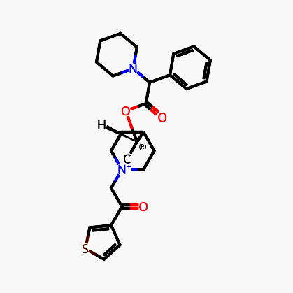 O=C(C[N+]12CCC(CC1)[C@@H](OC(=O)C(c1ccccc1)N1CCCCC1)C2)c1ccsc1